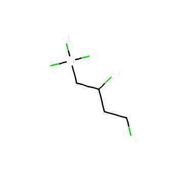 ClCCC(Cl)C[Si](Cl)(Cl)Cl